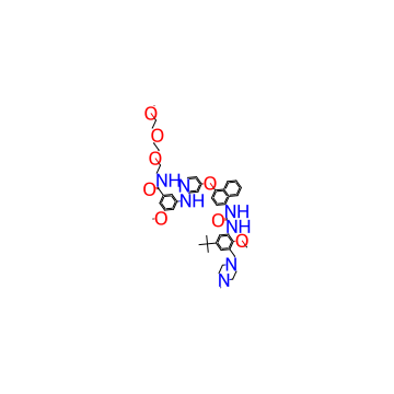 COCCOCCOCCNC(=O)c1cc(Nc2cc(Oc3ccc(NC(=O)Nc4cc(C(C)(C)C)cc(CN5CCN(C)CC5)c4OC)c4ccccc34)ccn2)cc(OC)c1